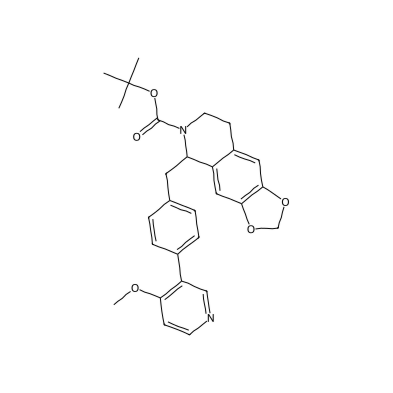 COc1ccncc1-c1ccc(CC2c3cc4c(cc3CCN2C(=O)OC(C)(C)C)OCO4)cc1